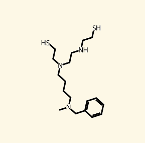 CN(CCCCN(CCS)CCNCCS)Cc1ccccc1